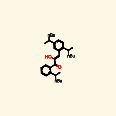 CCCCC(C)c1ccc(C(C)CCCC)c(C=C(O)C(=O)c2ccccc2C(C)CCCC)c1